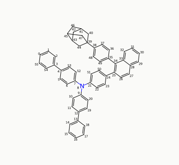 c1ccc(-c2ccc(N(c3ccc(-c4ccccc4)cc3)c3ccc(-c4ccc5ccccc5c4-c4ccc(C56CC7CC(C5)C(C7)C6)cc4)cc3)cc2)cc1